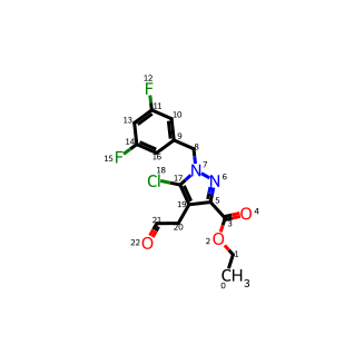 CCOC(=O)c1nn(Cc2cc(F)cc(F)c2)c(Cl)c1CC=O